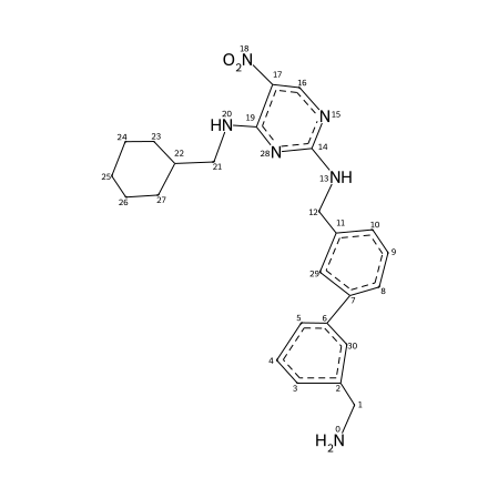 NCc1cccc(-c2cccc(CNc3ncc([N+](=O)[O-])c(NCC4CCCCC4)n3)c2)c1